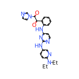 CCN(CC)c1ccc(Nc2nccc(Nc3ccccc3C(=O)C(=O)n3ccnc3)n2)cn1